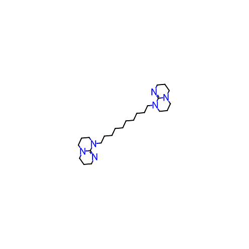 C(CCCCCN1CCCN2CCCN=C12)CCCCN1CCCN2CCCN=C12